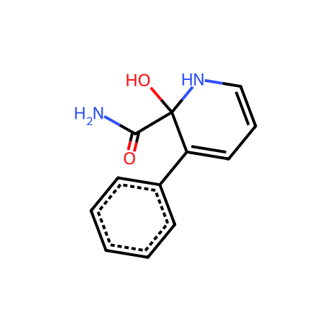 NC(=O)C1(O)NC=CC=C1c1ccccc1